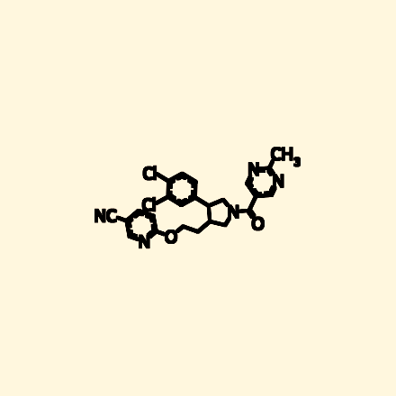 Cc1ncc(C(=O)N2CC(CCOc3ccc(C#N)cn3)C(c3ccc(Cl)c(Cl)c3)C2)cn1